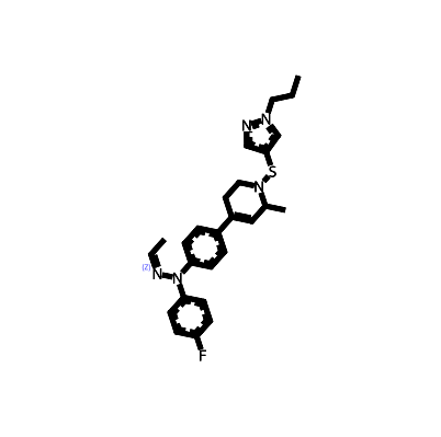 C/C=N\N(c1ccc(F)cc1)c1ccc(C2=CC(C)N(Sc3cnn(CCC)c3)CC2)cc1